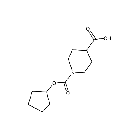 O=C(O)C1CCN(C(=O)OC2CCCC2)CC1